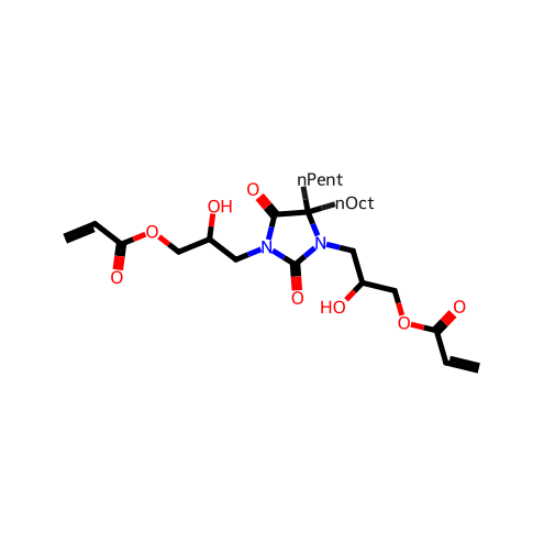 C=CC(=O)OCC(O)CN1C(=O)N(CC(O)COC(=O)C=C)C(CCCCC)(CCCCCCCC)C1=O